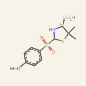 COc1ccc(S(=O)(=O)C2N[C@@H](C(=O)O)C(C)(C)S2)cc1